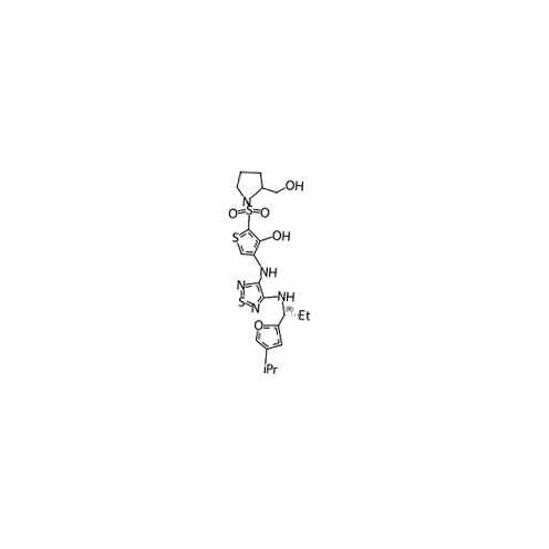 CC[C@@H](Nc1nsnc1Nc1csc(S(=O)(=O)N2CCCC2CO)c1O)c1cc(C(C)C)co1